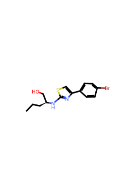 CCC[C@@H](CO)Nc1nc(-c2ccc(Br)cc2)cs1